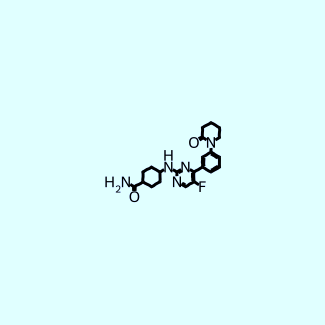 NC(=O)C1CCC(Nc2ncc(F)c(-c3cccc(N4CCCCC4=O)c3)n2)CC1